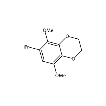 COc1cc(C(C)C)c(OC)c2c1OCCO2